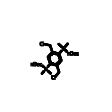 CCCCCCCCCC[Si](C)(C)c1cc(CCl)c([Si](C)(C)CCCCCCCCCC)cc1CCl